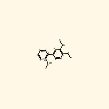 CCc1ccc(-c2ccc[c]c2OC)cc1CC